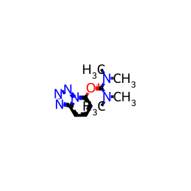 CN(C)C(=[O+]c1cccc2nnnn12)N(C)C